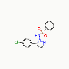 O=S(=O)(Nn1nccc1-c1ccc(Cl)cc1)c1ccccc1